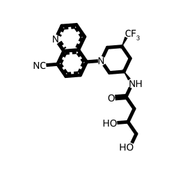 N#Cc1ccc(N2C[C@H](NC(=O)CC(O)CO)C[C@H](C(F)(F)F)C2)c2cccnc12